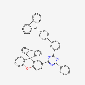 c1ccc(-c2nc(-c3cccc(-c4ccc(C5c6ccccc6-c6ccccc65)cc4)c3)nc(-c3ccc4c(c3)C3(c5ccccc5O4)c4ccccc4-c4ccccc43)n2)cc1